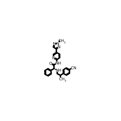 CC(CN[C@H](C(=O)Nc1ccc(-c2cnn(C)n2)cn1)c1ccccc1)c1ccc(C#N)cc1